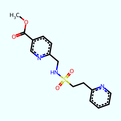 COC(=O)c1ccc(CNS(=O)(=O)CCc2ccccn2)nc1